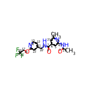 CC(=O)Nc1cc(C(=O)NCc2ccnc(OCC(F)(F)F)c2)cc(C)n1